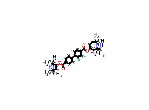 CC1(C)CCC(OC(=O)c2ccc(-c3ccc(C(=O)OC4CC(C)(C)NC4(C)C)cc3)c(F)c2F)CC(C)(C)N1